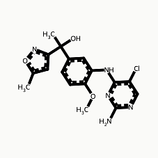 COc1ccc(C(C)(O)c2cc(C)on2)cc1Nc1nc(N)ncc1Cl